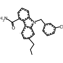 CCCc1c[c]c2c3c(C(N)=O)cccc3n(Cc3cccc(Cl)c3)c2c1